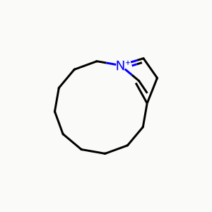 C1=C2CC=[N+]1CCCCCCCCC2